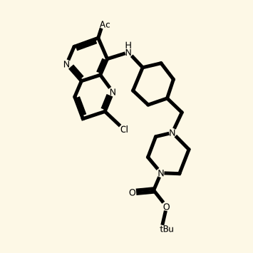 CC(=O)c1cnc2ccc(Cl)nc2c1NC1CCC(CN2CCN(C(=O)OC(C)(C)C)CC2)CC1